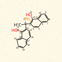 CC(P)(c1ccc2ccccc2c1O)c1ccc2ccccc2c1O